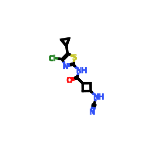 N#CNC1CC(C(=O)Nc2nc(Cl)c(C3CC3)s2)C1